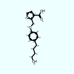 O=C(O)c1ccsc1COc1ccc(CCCCO)cc1